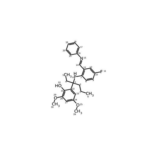 CCCC(CC)(Pc1ccc(F)cc1/C=N/c1ccccc1)c1cc(OC)cc(OC)c1O